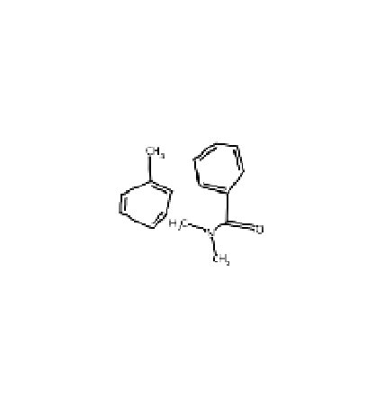 CN(C)C(=O)c1ccccc1.Cc1ccccc1